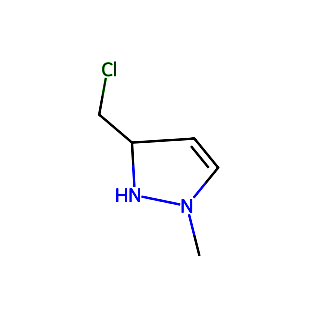 CN1C=CC(CCl)N1